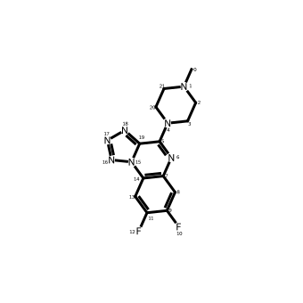 CN1CCN(c2nc3cc(F)c(F)cc3n3nnnc23)CC1